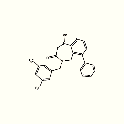 CC(=O)N1CC(=O)N(Cc2cc(C(F)(F)F)cc(C(F)(F)F)c2)Cc2c(-c3ccccc3)ccnc21